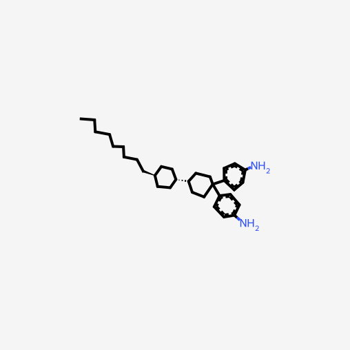 CCCCCCCCC[C@H]1CC[C@H](C2CCC(c3ccc(N)cc3)(c3ccc(N)cc3)CC2)CC1